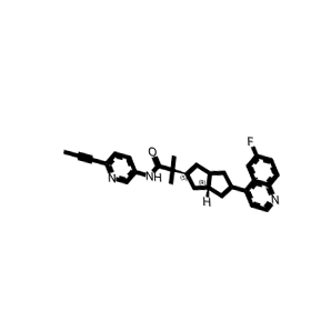 CC#Cc1ccc(NC(=O)C(C)(C)[C@H]2CC3CC(c4ccnc5ccc(F)cc45)C[C@@H]3C2)cn1